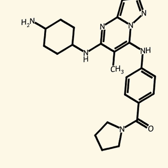 Cc1c(NC2CCC(N)CC2)nc2ccnn2c1Nc1ccc(C(=O)N2CCCC2)cc1